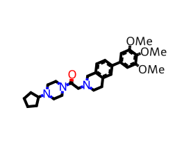 COc1cc(-c2ccc3c(c2)CCN(CC(=O)N2CCN(C4CCCC4)CC2)C3)cc(OC)c1OC